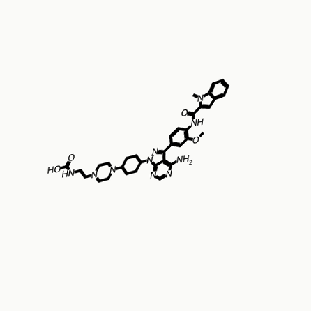 COc1cc(-c2nn(C3CCC(N4CCN(CCNC(=O)O)CC4)CC3)c3ncnc(N)c23)ccc1NC(=O)c1cc2ccccc2n1C